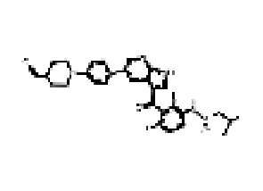 CC(C)C[S+]([O-])Nc1ccc(F)c(C(=O)c2c[nH]c3ncc(-c4ccc(N5CCC(C=O)CC5)cc4)cc23)c1F